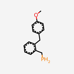 COc1ccc(Cc2ccccc2CP)cc1